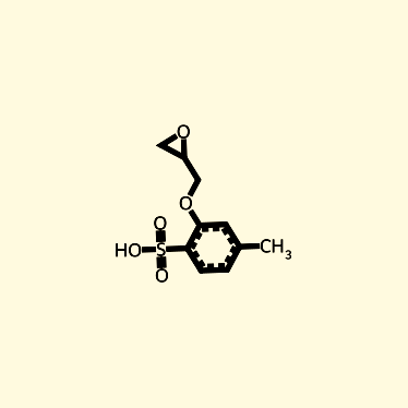 Cc1ccc(S(=O)(=O)O)c(OCC2CO2)c1